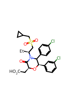 CC[C@@H](CS(=O)(=O)CC1CC1)N1C(=O)[C@H](CC(=O)O)O[C@H](c2cccc(Cl)c2)C1c1ccc(Cl)cc1